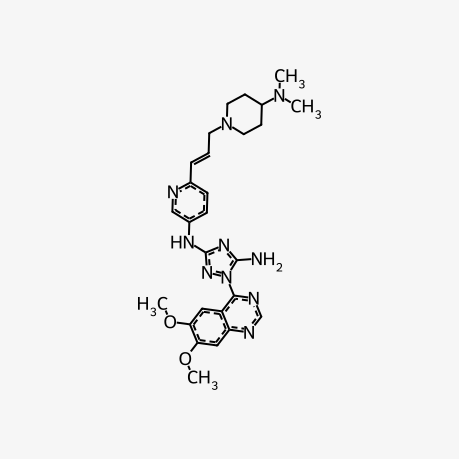 COc1cc2ncnc(-n3nc(Nc4ccc(C=CCN5CCC(N(C)C)CC5)nc4)nc3N)c2cc1OC